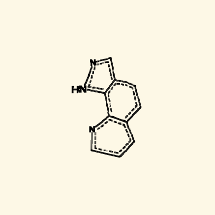 c1cnc2c(c1)ccc1cn[nH]c12